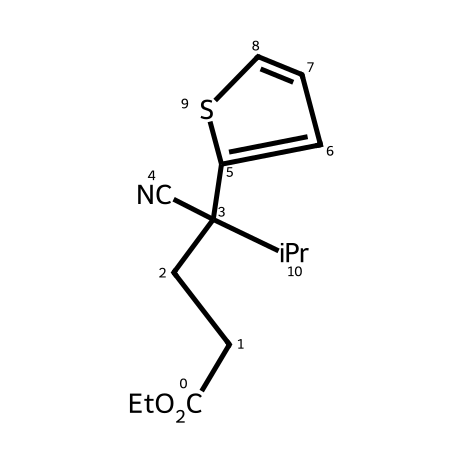 CCOC(=O)CCC(C#N)(c1cccs1)C(C)C